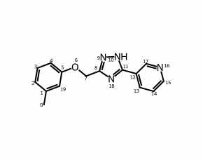 Cc1cccc(OCc2n[nH]c(-c3cccnc3)n2)c1